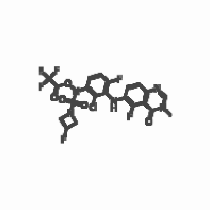 Cn1cnc2ccc(Nc3c(F)ccc(N(OC(=O)C(F)(F)F)S(=O)(=O)N4CC(F)C4)c3Cl)c(F)c2c1=O